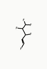 FC=CC(F)C(F)C(F)F